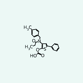 CCC(=O)N(Cc1ccc(C)cc1)c1cc(-c2ccccc2)sc1OC(=O)O